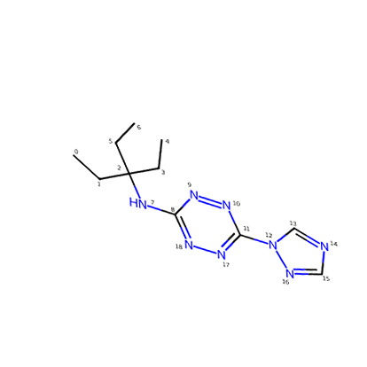 CCC(CC)(CC)Nc1nnc(-n2cncn2)nn1